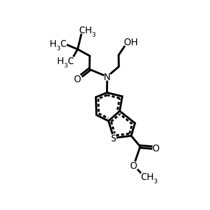 COC(=O)c1cc2cc(N(CCO)C(=O)CC(C)(C)C)ccc2s1